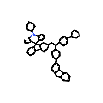 C1=CCCC(c2ccc(C(CC3C=CC4=C(C3)C3(c5ccccc54)c4ccccc4N(c4ccccc4)c4ccccc43)c3ccc(-c4ccc5c(c4)-c4ccccc4C5)cc3)cc2)=C1